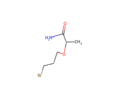 CC(OCCCBr)C(N)=O